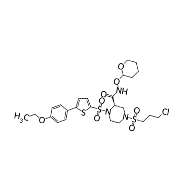 CCOc1ccc(-c2ccc(S(=O)(=O)N3CCN(S(=O)(=O)CCCCl)C[C@@H]3C(=O)NOC3CCCCO3)s2)cc1